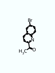 CC(=O)c1ccc2cc(Br)ccc2n1